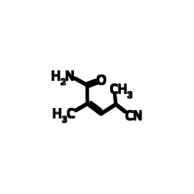 CC(=CC(C)C#N)C(N)=O